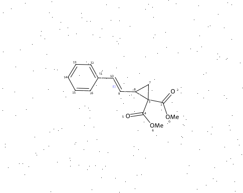 COC(=O)C1(C(=O)OC)CC1/C=C/c1ccccc1